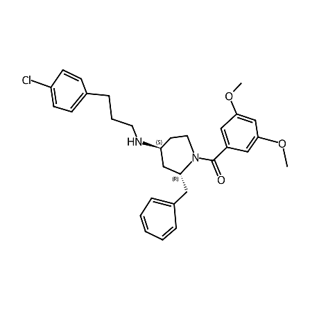 COc1cc(OC)cc(C(=O)N2CC[C@H](NCCCc3ccc(Cl)cc3)C[C@H]2Cc2ccccc2)c1